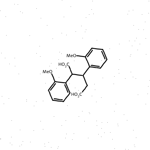 COc1ccccc1C(CC(=O)O)C(C(=O)O)c1ccccc1OC